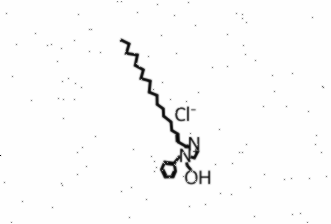 CCCCCCCCCCCCCCCC=CC1=NCC[N+]1(CCO)Cc1ccccc1.[Cl-]